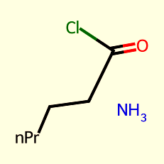 CCCCCC(=O)Cl.N